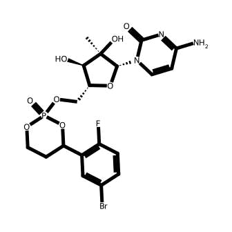 C[C@@]1(O)[C@H](O)[C@@H](COP2(=O)OCCC(c3cc(Br)ccc3F)O2)O[C@H]1n1ccc(N)nc1=O